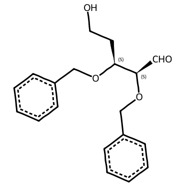 O=C[C@@H](OCc1ccccc1)[C@H](CCO)OCc1ccccc1